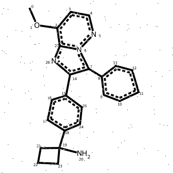 COc1ccnn2c(-c3ccccc3)c(-c3ccc(C4(N)CCC4)cc3)nc12